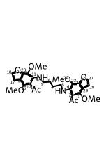 COc1c(C(C)=O)c(NCCCCNc2c(C(C)=O)c(OC)c3ccoc3c2OC)c(OC)c2occc12